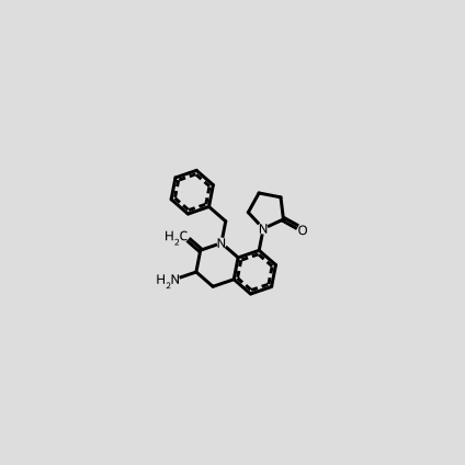 C=C1C(N)Cc2cccc(N3CCCC3=O)c2N1Cc1ccccc1